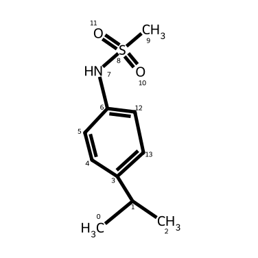 CC(C)c1ccc(NS(C)(=O)=O)cc1